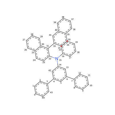 c1ccc(-c2cc(-c3ccccc3)cc(N(c3ccccc3)c3ccc4ccccc4c3-c3ccc4ccccc4c3)c2)cc1